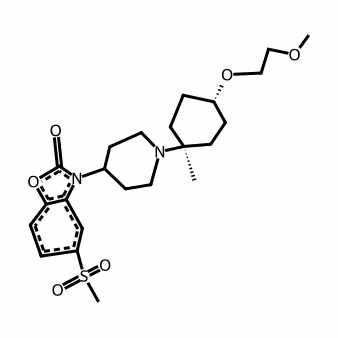 COCCO[C@H]1CC[C@](C)(N2CCC(n3c(=O)oc4ccc(S(C)(=O)=O)cc43)CC2)CC1